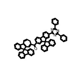 O=C(C1=CC2=C(C=CC1)c1ccccc1C21c2ccccc2-c2ccccc21)c1ccc2c(c1)C1(c3ccccc3-c3ccccc31)c1cc(-c3nc(-c4ccccc4)nc(-c4ccccc4)n3)ccc1-2